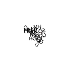 C[C@]1(c2ccccc2C(=O)O)[C@@H](c2ccccc2C(=O)O)[C@H](COC(=O)c2ccccc2)O[C@H]1n1cnc2c(NCc3ccccc3)nc(N)nc21